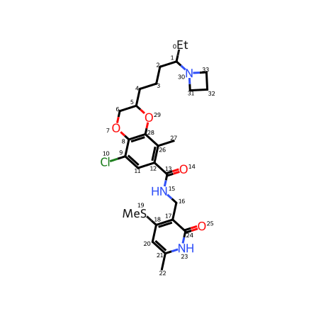 CCC(CCCC1COc2c(Cl)cc(C(=O)NCc3c(SC)cc(C)[nH]c3=O)c(C)c2O1)N1CCC1